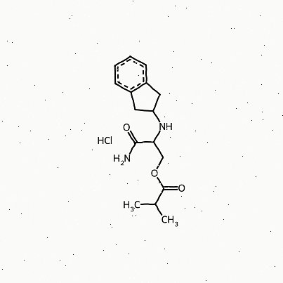 CC(C)C(=O)OCC(NC1Cc2ccccc2C1)C(N)=O.Cl